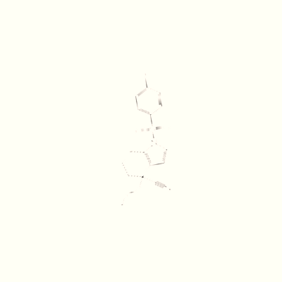 Cc1ccc(S(=O)(=O)n2ccc3c2CCCC3(C#N)OSI)cc1